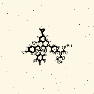 CC(C)(C)OC(=O)N(C(=O)OC(C)(C)C)c1ncc(N(Cc2cc(C3CC3)cc(C(C)(C)C)c2)C(=O)CN(Cc2ccc(Cl)cc2)S(=O)(=O)c2c(F)c(F)c(F)c(F)c2F)cn1